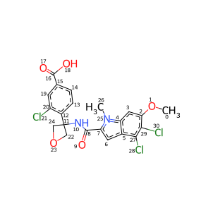 COc1cc2c(cc(C(=O)NC3(c4ccc(C(=O)O)cc4Cl)COC3)n2C)c(Cl)c1Cl